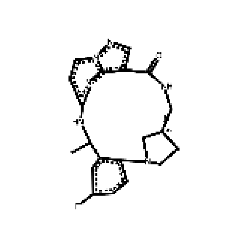 CC1Nc2ccn3ncc(c3n2)C(=O)NC[C@H]2CCN(C2)c2ccc(F)cc21